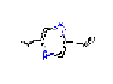 [CH2]c1cnc(CCCC)cn1